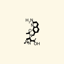 CC(=O)N(Cc1ccc2ccc(N)nc2c1)c1cn(C)nc1[C@@H](C)O